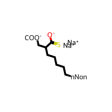 CCCCCCCCCCCCCCC(CC(=O)[O-])C([O-])=S.[Na+].[Na+]